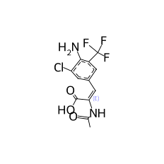 CC(=O)N/C(=C/c1cc(Cl)c(N)c(C(F)(F)F)c1)C(=O)O